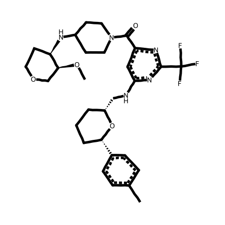 CO[C@H]1COCC[C@H]1NC1CCN(C(=O)c2cc(NC[C@H]3CCC[C@@H](c4ccc(C)cc4)O3)nc(C(F)(F)F)n2)CC1